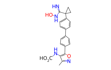 Cc1noc(-c2ccc(-c3ccc(C4(C(=N)NO)CC4)cc3)cc2)c1NC(=O)O